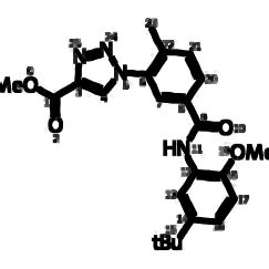 COC(=O)c1cn(-c2cc(C(=O)Nc3cc(C(C)(C)C)ccc3OC)ccc2C)nn1